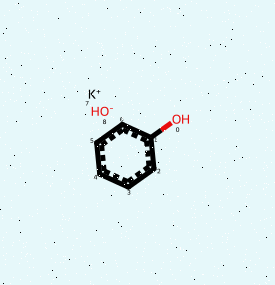 Oc1ccccc1.[K+].[OH-]